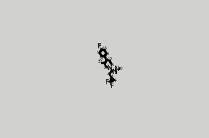 C=N/N=C(/CC1CC1(F)F)N1C=CC(c2ccc(F)cc2)=C(C)C1